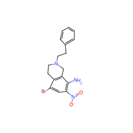 Nc1c([N+](=O)[O-])cc(Br)c2c1CN(CCc1ccccc1)CC2